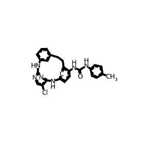 Cc1ccc(NC(=O)Nc2ccc3cc2CCc2cccc(c2)Nc2ncc(Cl)c(n2)N3)cc1